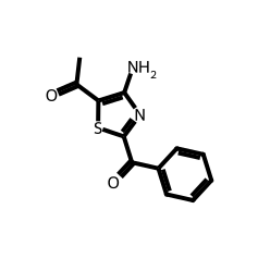 CC(=O)c1sc(C(=O)c2ccccc2)nc1N